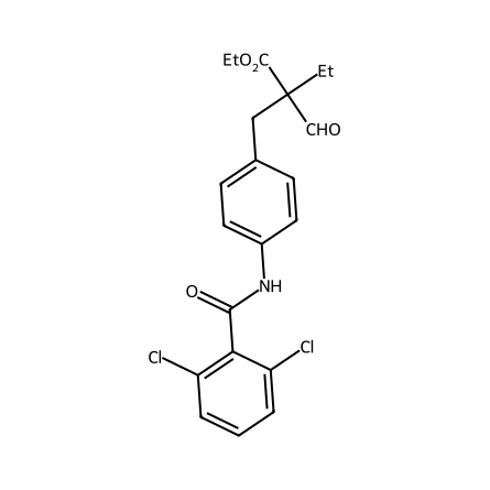 CCOC(=O)C(C=O)(CC)Cc1ccc(NC(=O)c2c(Cl)cccc2Cl)cc1